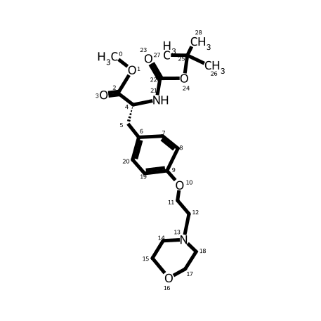 COC(=O)[C@@H](Cc1ccc(OCCN2CCOCC2)cc1)NC(=O)OC(C)(C)C